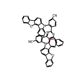 N#Cc1ccc(-c2nc(-c3ccccc3)nc(-c3ccc(C#N)cc3-n3c4ccccc4c4c5oc6ccccc6c5ccc43)n2)c(-n2c3ccccc3c3c4oc5ccccc5c4ccc32)c1